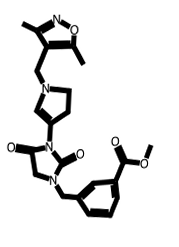 COC(=O)c1cccc(CN2CC(=O)N(C3=CN(Cc4c(C)noc4C)CC3)C2=O)c1